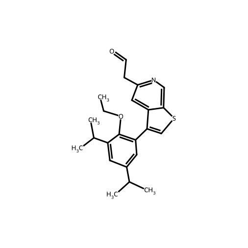 CCOc1c(-c2csc3cnc(CC=O)cc23)cc(C(C)C)cc1C(C)C